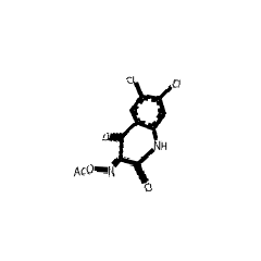 CC(=O)ON=C1C(=O)Nc2cc(Cl)c(Cl)cc2C1=O